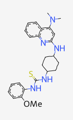 COc1ccccc1NC(=S)NC1CCC(Nc2cc(N(C)C)c3ccccc3n2)CC1